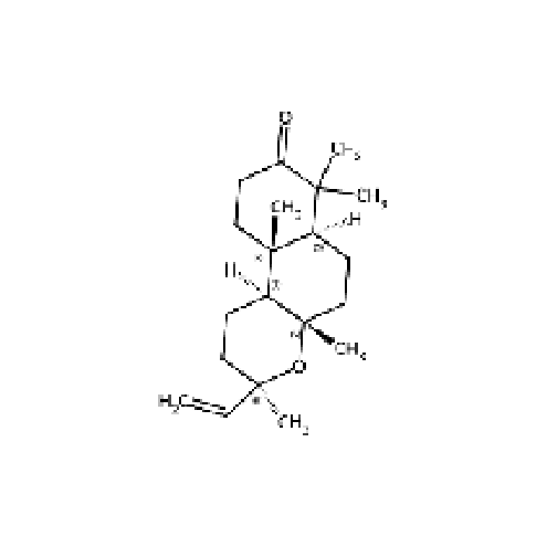 C=C[C@@]1(C)CC[C@H]2[C@]3(C)CCC(=O)C(C)(C)[C@H]3CC[C@]2(C)O1